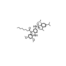 CCCCCCCC(=O)Nc1cc(NS(=O)(=O)c2c(C(C)C)cc(C(C)C)cc2C(C)C)ccc1Nc1ccc(OC)cc1OC